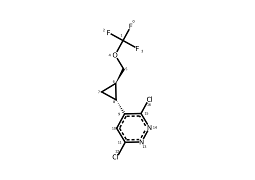 FC(F)(F)OC[C@@H]1C[C@H]1c1cc(Cl)nnc1Cl